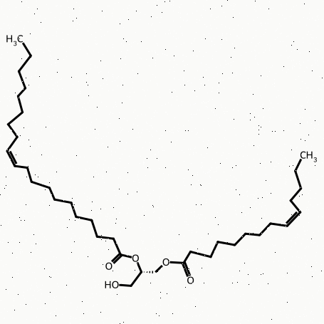 CCCC/C=C\CCCCCCCC(=O)OC[C@H](CO)OC(=O)CCCCCCCCC/C=C\CCCCCCCC